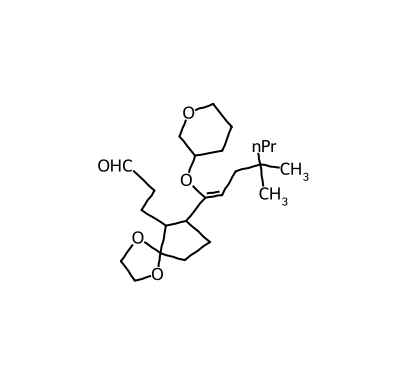 CCCC(C)(C)CC=C(OC1CCCOC1)C1CCC2(OCCO2)C1CCC=O